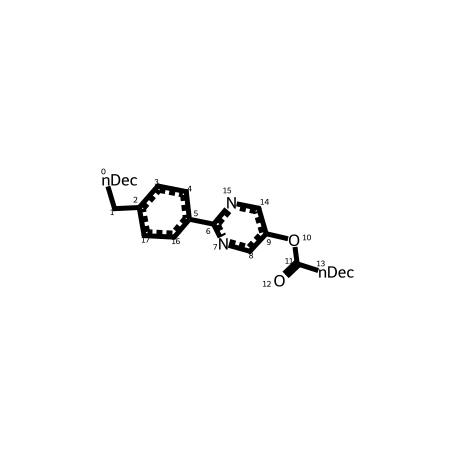 CCCCCCCCCCCc1ccc(-c2ncc(OC(=O)CCCCCCCCCC)cn2)cc1